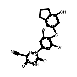 N#Cc1nn(-c2cc(Br)c(Oc3cc(O)c4c(c3)CCC4)c(Br)c2)c(=O)[nH]c1=O